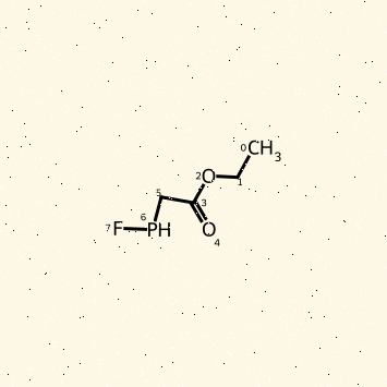 CCOC(=O)CPF